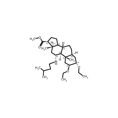 CCO[C@H]1C[C@@H]2CC[C@@H]3[C@H]([C@H](NCCC(C)C)C[C@]4(C)[C@@H](C(=O)OC)CC[C@@H]34)[C@@]2(C)C[C@@H]1OCC